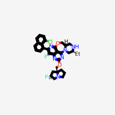 CC[C@@H]1CN2c3nc(OC[C@@]45CCCN4C[C@H](F)C5)nc4c(F)c(-c5cccc6cccc(Cl)c56)nc(c34)OC[C@H]2CN1